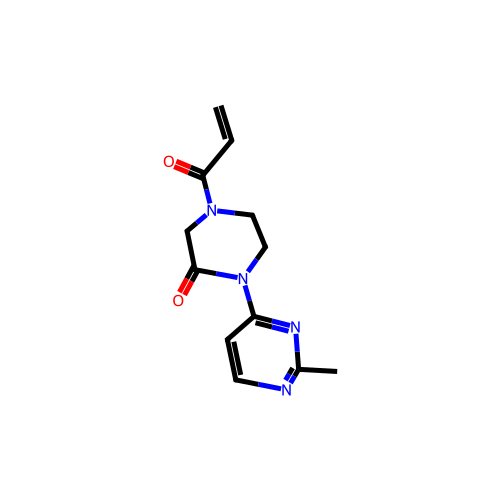 C=CC(=O)N1CCN(c2ccnc(C)n2)C(=O)C1